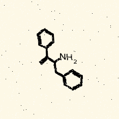 C=C(c1ccccc1)C(N)Cc1ccccc1